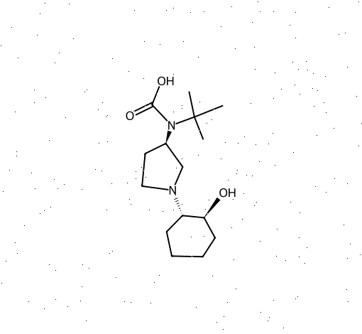 CC(C)(C)N(C(=O)O)[C@@H]1CCN([C@H]2CCCC[C@@H]2O)C1